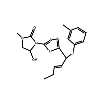 CCC=CC(Oc1cccc(C)c1)c1nnc(N2C(=O)N(C)CC2O)s1